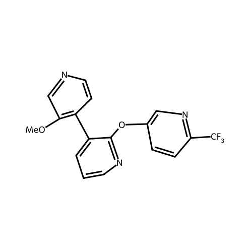 COc1cnccc1-c1cccnc1Oc1ccc(C(F)(F)F)nc1